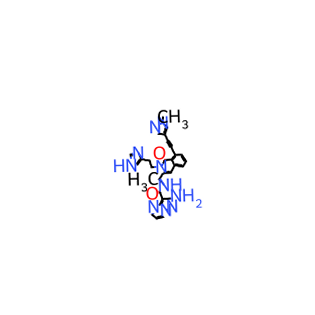 C[C@@H](NC(=O)c1c(N)nn2cccnc12)c1cc2cccc(C#Cc3cnn(C)c3)c2c(=O)n1CCc1c[nH]cn1